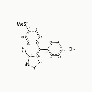 CSc1ccc(C(=C2CC[N]C2=O)c2ccc(Cl)cc2)cc1